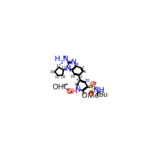 COc1ncc(-c2ccc3nc(N)n(C4CCCC4)c3c2)cc1S(=O)(=O)NC(C)(C)C.O=CO